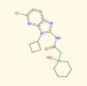 O=C(CC1(O)CCCCC1)Nc1nc2ccc(Cl)nc2n1C1CCC1